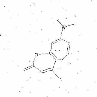 C=C1C=C(C)c2ccc(N(C)C)cc2O1